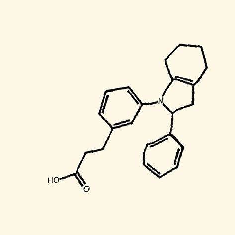 O=C(O)CCc1cccc(N2C3=C(CCCC3)CC2c2ccccc2)c1